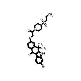 CCCS(=O)(=O)N1CCN(C(=O)COc2ccc3c(c2)C(C)(C)c2[nH]c4cc(Br)ccc4c2C3=O)CC1